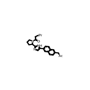 CC(=O)Cc1ccc2cc(-c3cnc(C4CCCN4C(=O)[CH]C(C)C)[nH]3)ccc2c1